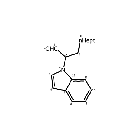 CCCCCCCCC([C]=O)n1ccc2ccccc21